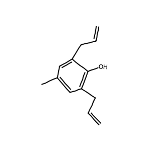 C=CCc1cc(C)cc(CC=C)c1O